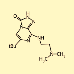 CN(C)CCNc1nc(C(C)(C)C)cn2c(=O)[nH]nc12